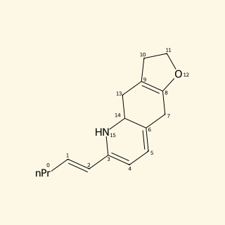 [CH2]CCC=CC1=CC=C2CC3=C(CCO3)CC2N1